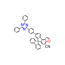 N#Cc1cc2c(c3ccoc13)-c1ccc(-c3ccc(-c4nc(-c5ccccc5)nc(-c5ccccc5)n4)cc3)cc1C21c2ccccc2-c2ccccc21